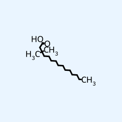 CCCCCCCCCCCCC(C)(C)CC(=O)O